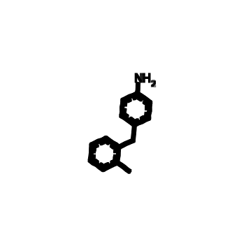 Cc1ccccc1Cc1ccc(N)cc1